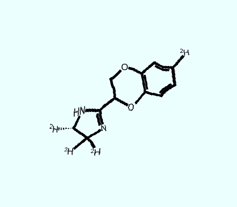 [2H]c1ccc2c(c1)OCC(C1=NC([2H])([2H])[C@H]([2H])N1)O2